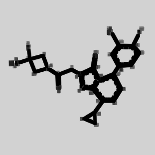 CC1(F)CN(C(=O)Cn2nc3c(C4CC4)ccc(-c4ccc(F)c(Cl)c4)n3c2=O)C1